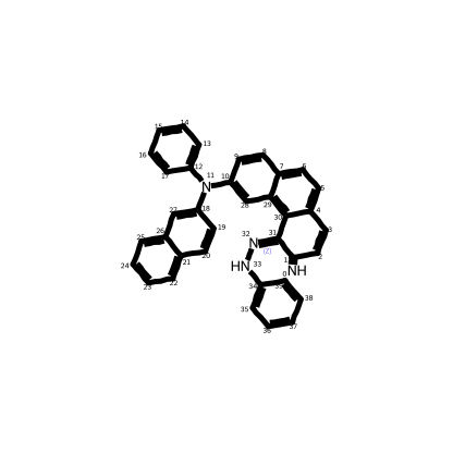 N=C1C=Cc2ccc3ccc(N(c4ccccc4)c4ccc5ccccc5c4)cc3c2/C1=N/Nc1ccccc1